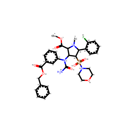 CC(=O)N1C(C(=O)OC(C)(C)C)C(N(C(N)=O)c2cccc(C(=O)OCc3ccccc3)c2)C(S(=O)(=O)N2CCOCC2)C1c1ccccc1F